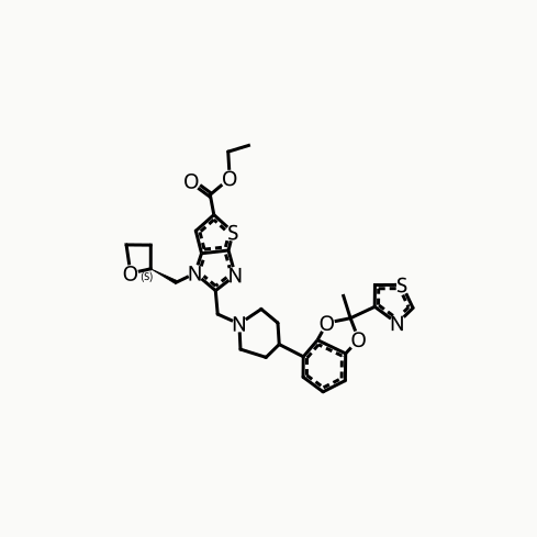 CCOC(=O)c1cc2c(nc(CN3CCC(c4cccc5c4OC(C)(c4cscn4)O5)CC3)n2C[C@@H]2CCO2)s1